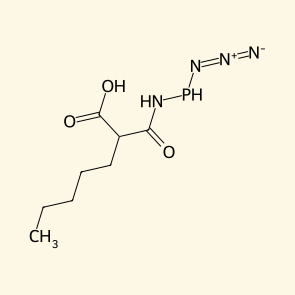 CCCCCC(C(=O)O)C(=O)NPN=[N+]=[N-]